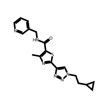 Cc1nc(-c2cn(CCC3CC3)nn2)sc1C(=O)NCc1cccnc1